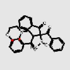 CN(C)C(C(=O)c1ccccc1)(C(=O)c1ccccc1)C(CN1CCOCC1)C(=O)c1ccccc1